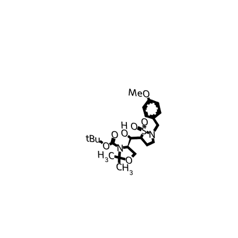 COc1ccc(CN2CCC(C(O)[C@H]3COC(C)(C)N3C(=O)OC(C)(C)C)S2(=O)=O)cc1